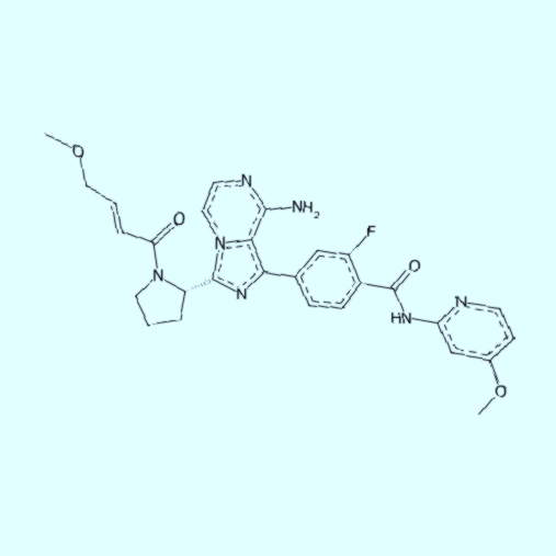 COC/C=C/C(=O)N1CCC[C@H]1c1nc(-c2ccc(C(=O)Nc3cc(OC)ccn3)c(F)c2)c2c(N)nccn12